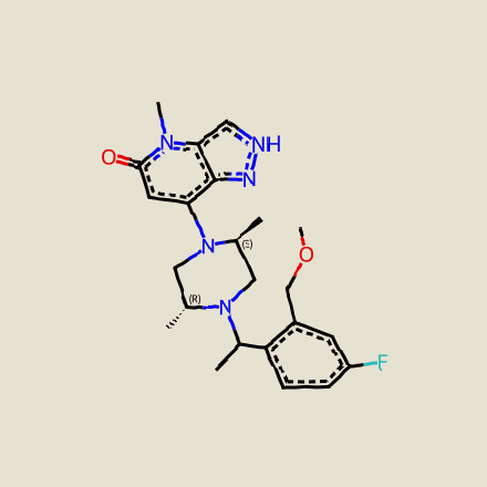 COCc1cc(F)ccc1C(C)N1C[C@H](C)N(c2cc(=O)n(C)c3c[nH]nc23)C[C@H]1C